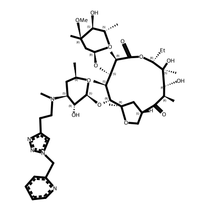 CC[C@H]1OC(=O)[C@H](C)[C@@H](O[C@H]2C[C@@](C)(OC)[C@@H](O)[C@H](C)O2)[C@H](C)[C@@H](O[C@@H]2O[C@H](C)C[C@H](N(C)CCc3cn(Cc4ccccn4)nn3)[C@H]2O)[C@@]2(C)C[C@@H](CO2)C(=O)[C@H](C)[C@@H](O)[C@]1(C)O